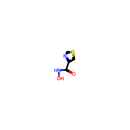 O=C(NO)c1cscn1